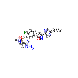 CN=S1(=O)CC(c2cc(-c3cc(-c4cnc(OC)cn4)no3)ccc2F)N=C(N)C1(C)C